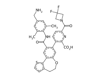 Cc1cc(CN)cc(C)c1NC(=O)c1cc2c(cc1-c1ccc(C(=O)N3CC(F)(F)C3)nc1C(=O)O)OCCc1ccsc1-2